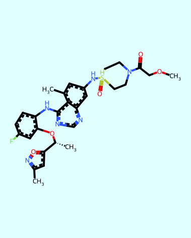 COCC(=O)N1CC[SH](=O)(Nc2cc(C)c3c(Nc4ccc(F)cc4O[C@H](C)c4cc(C)no4)ncnc3c2)CC1